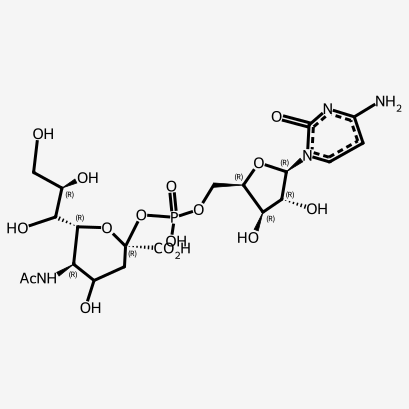 CC(=O)N[C@@H]1C(O)C[C@@](OP(=O)(O)OC[C@H]2O[C@@H](n3ccc(N)nc3=O)[C@H](O)[C@H]2O)(C(=O)O)O[C@H]1C(O)[C@H](O)CO